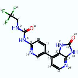 O=C(NCC(F)(F)F)Nc1ccc(-c2ccnc3[nH]c(=O)[nH]c23)cn1